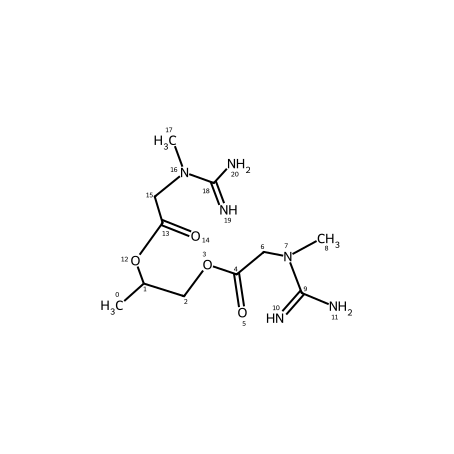 CC(COC(=O)CN(C)C(=N)N)OC(=O)CN(C)C(=N)N